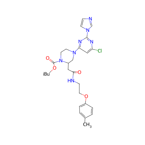 CCC(C)OC(=O)N1CCN(c2cc(Cl)nc(-n3ccnc3)n2)CC1CC(=O)NCCOc1ccc(C)cc1